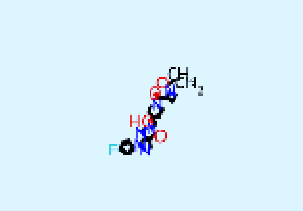 C=C(C)C(=O)N1CCC1C(=O)N1CCC(O)(Cn2cnc3c(cnn3-c3ccc(F)cc3)c2=O)CC1